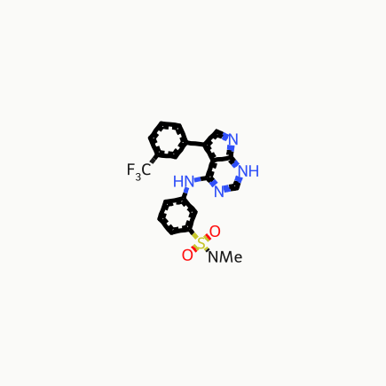 CNS(=O)(=O)c1cccc(Nc2nc[nH]c3ncc(-c4cccc(C(F)(F)F)c4)c2-3)c1